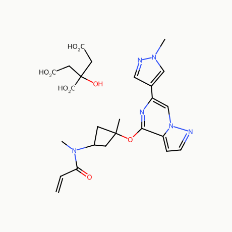 C=CC(=O)N(C)C1CC(C)(Oc2nc(-c3cnn(C)c3)cn3nccc23)C1.O=C(O)CC(O)(CC(=O)O)C(=O)O